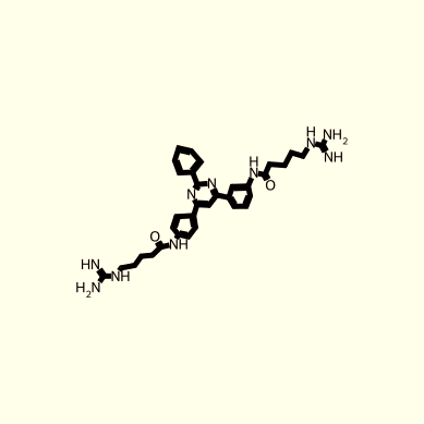 N=C(N)NCCCCC(=O)Nc1ccc(-c2cc(-c3cccc(NC(=O)CCCCNC(=N)N)c3)nc(-c3ccccc3)n2)cc1